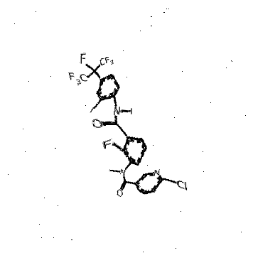 CN(C(=O)c1ccc(Cl)nc1)c1cccc(C(=O)N(I)c2ccc(C(F)(C(F)(F)F)C(F)(F)F)cc2I)c1F